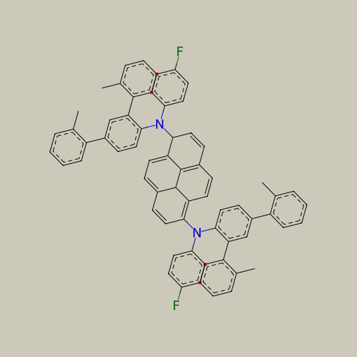 Cc1ccccc1-c1ccc(N(C2=C3C=CC4=C5C(=CC=C(C=C2)C35)C(N(c2ccc(F)cc2)c2ccc(-c3ccccc3C)cc2-c2ccccc2C)C=C4)c2ccc(F)cc2)c(-c2ccccc2C)c1